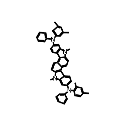 Cc1cc(C)cc(N(c2ccccc2)c2ccc3c4c5ccc6c(c5ccc4n(C)c3c2)c2ccc(N(c3ccccc3)c3ccc(C)cc3C)cc2n6C)c1